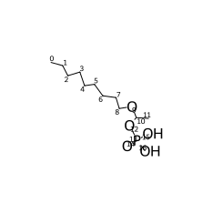 CCCCCCCCCOC(C)OP(=O)(O)O